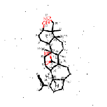 C=C(C)[C@@H]1CC[C@]2(C)CC[C@]3(C(=O)O)[C@H](CC[C@@H]4[C@@]5(C)CCC(O)C(C)(CO)[C@@H]5CC[C@]43C)[C@@H]12